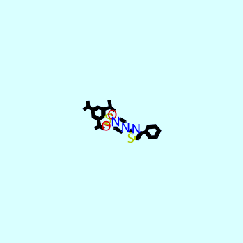 CC(C)c1cc(C(C)C)c(S(=O)(=O)N2CCN(c3nc(-c4ccccc4)cs3)CC2)c(C(C)C)c1